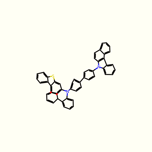 C1=CCC(c2ccccc2N(c2ccc(-c3ccc(-n4c5ccccc5c5c6ccccc6ccc54)cc3)cc2)c2ccc3c(c2)sc2ccccc23)C=C1